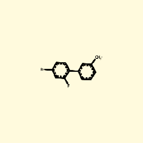 [CH2]c1cccc(-c2ccc(Br)cc2F)c1